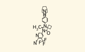 C=C1N(c2cnc(C#N)c(C(F)(F)F)c2)C(=O)C2(CCC2)N1c1ccc(C2CC3CCC(C2)N3)cc1